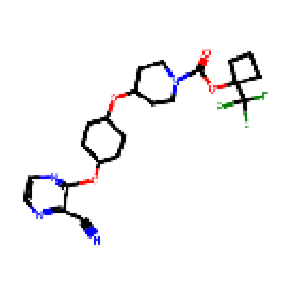 N#Cc1nccnc1OC1CCC(OC2CCN(C(=O)OC3(C(F)(F)F)CCC3)CC2)CC1